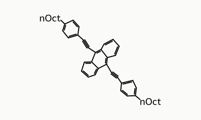 CCCCCCCCc1ccc(C#Cc2c3ccccc3c(C#Cc3ccc(CCCCCCCC)cc3)c3ccccc23)cc1